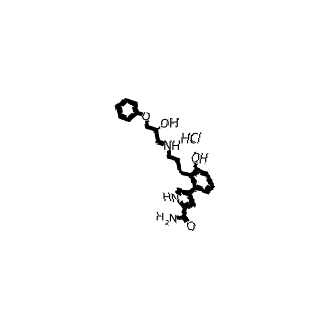 Cl.NC(=O)c1cc(-c2cccc(O)c2CCCNC[C@H](O)COc2ccccc2)c[nH]1